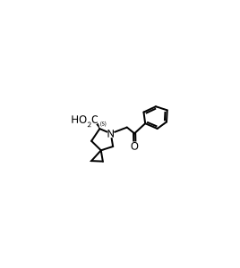 O=C(CN1CC2(CC2)C[C@H]1C(=O)O)c1ccccc1